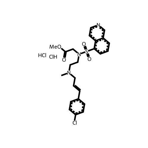 COC(=O)CN(CCN(C)CC=Cc1ccc(Cl)cc1)S(=O)(=O)c1cccc2cnccc12.Cl.Cl